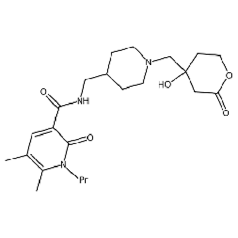 Cc1cc(C(=O)NCC2CCN(CC3(O)CCOC(=O)C3)CC2)c(=O)n(C(C)C)c1C